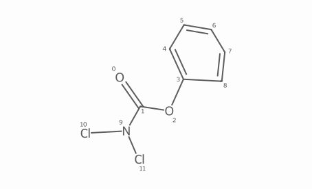 O=C(Oc1ccccc1)N(Cl)Cl